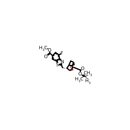 COC(=O)c1cc(F)c2nc(C[C@H]3C4CC5C(CC53)CN(C(=O)OC(C)(C)C)C4)sc2c1